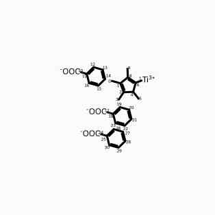 CC1=C(C)C(C)[C]([Ti+3])=C1C.O=C([O-])c1ccccc1.O=C([O-])c1ccccc1.O=C([O-])c1ccccc1